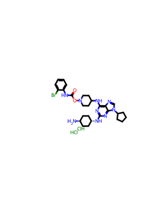 Cl.Cl.N[C@H]1CC[C@H](Nc2nc(NC3CCN(OC(=O)Nc4ccccc4Br)CC3)c3ncn(C4CCCC4)c3n2)CC1